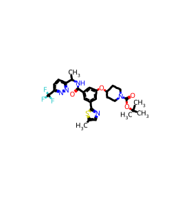 Cc1cnc(-c2cc(OC3CCN(C(=O)OC(C)(C)C)CC3)cc(C(=O)NC(C)c3ccc(C(F)(F)F)nn3)c2)s1